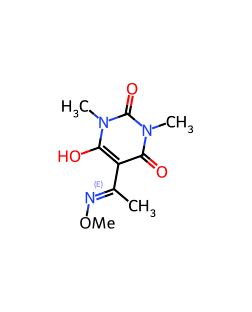 CO/N=C(\C)c1c(O)n(C)c(=O)n(C)c1=O